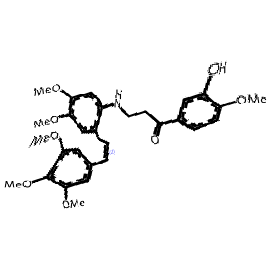 COc1ccc(C(=O)CCNc2cc(OC)c(OC)cc2/C=C\c2cc(OC)c(OC)c(OC)c2)cc1O